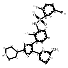 Cc1nccc(-c2sc(C3CCOCC3)nc2-c2cccc(NS(=O)(=O)c3cc(F)ccc3F)c2F)n1